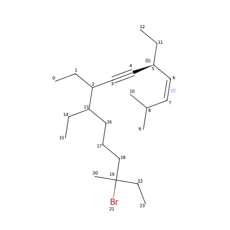 CCC(C#C[C@H](/C=C\C(C)C)CC)C(CC)CCCC(C)(Br)CC